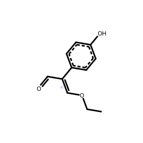 CCO/C=C(/C=O)c1ccc(O)cc1